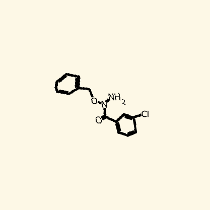 NN(OCc1ccccc1)C(=O)c1cccc(Cl)c1